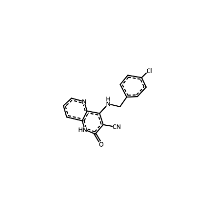 N#Cc1c(NCc2ccc(Cl)cc2)c2ncccc2[nH]c1=O